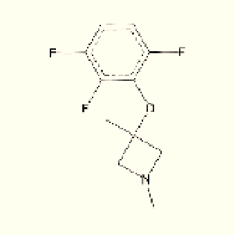 CN1CC(C)(Oc2c(F)ccc(F)c2F)C1